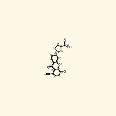 C#Cc1ccc(Cl)c2oc3cc(N4CCC(C(=O)O)C4)ccc3c(=O)c12